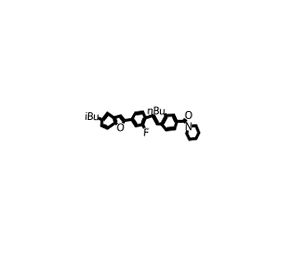 CCCCc1cc(C(=O)N2CCCCC2)ccc1C=Cc1ccc(-c2cc3cc(C(C)CC)ccc3o2)cc1F